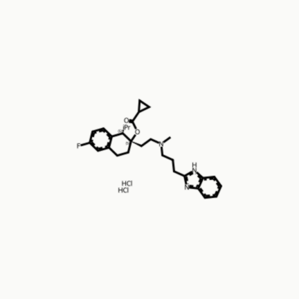 CC(C)[C@H]1c2ccc(F)cc2CC[C@@]1(CCN(C)CCCc1nc2ccccc2[nH]1)OC(=O)C1CC1.Cl.Cl